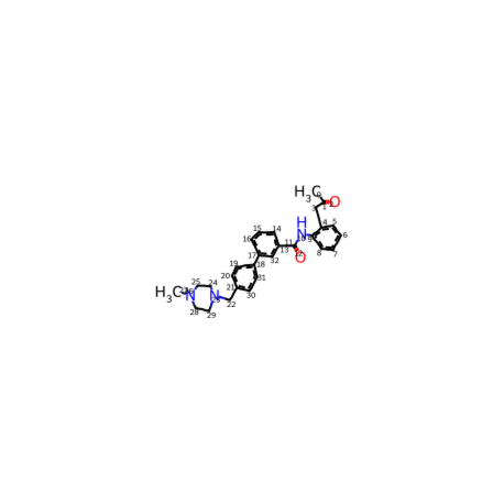 CC(=O)Cc1ccccc1NC(=O)c1cccc(-c2ccc(CN3CCN(C)CC3)cc2)c1